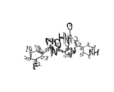 O=c1cc(C2CCNCC2)n2ncc(-c3nc(-c4cccc(F)c4)no3)c2[nH]1